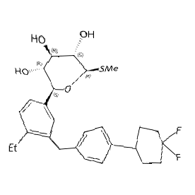 CCc1ccc([C@@H]2O[C@H](SC)[C@@H](O)[C@H](O)[C@H]2O)cc1Cc1ccc(C2CCC(F)(F)CC2)cc1